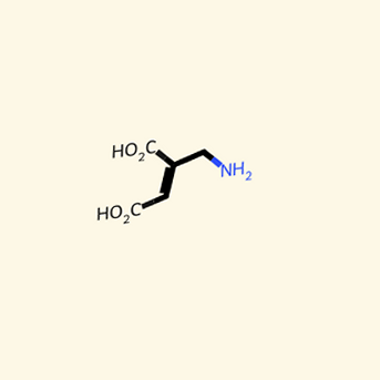 NC/C(=C/C(=O)O)C(=O)O